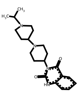 CC(C)N1CCC(N2CCC(n3c(=O)[nH]c4ccccc4c3=O)CC2)CC1